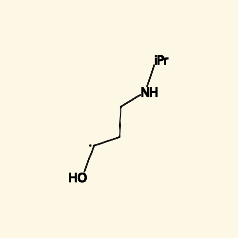 CC(C)NCC[CH]O